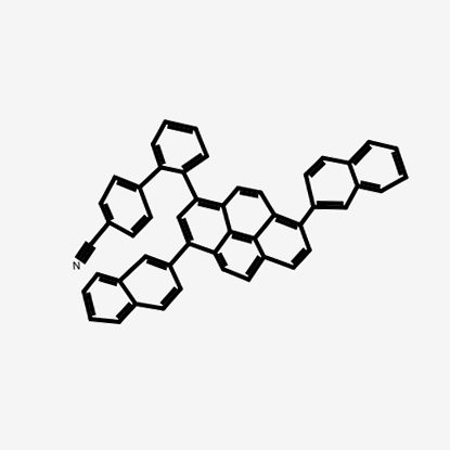 N#Cc1ccc(-c2ccccc2-c2cc(-c3ccc4ccccc4c3)c3ccc4ccc(-c5ccc6ccccc6c5)c5ccc2c3c45)cc1